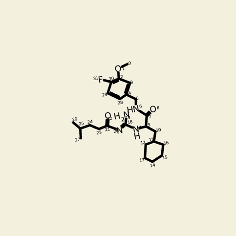 COc1cc(CNC(=O)C(CC2CCCCC2)NC(N)=NC(=O)CCC(C)C)ccc1F